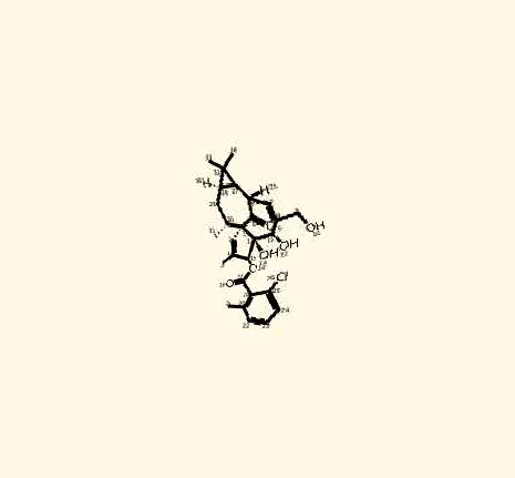 CC1=C[C@]23C(=O)[C@@H](C=C(CO)[C@@H](O)[C@]2(O)[C@H]1OC(=O)c1c(C)cccc1Cl)C1[C@@H](C[C@H]3C)C1(C)C